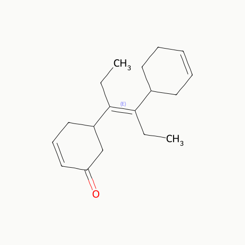 CC/C(=C(/CC)C1CC=CC(=O)C1)C1CC=CCC1